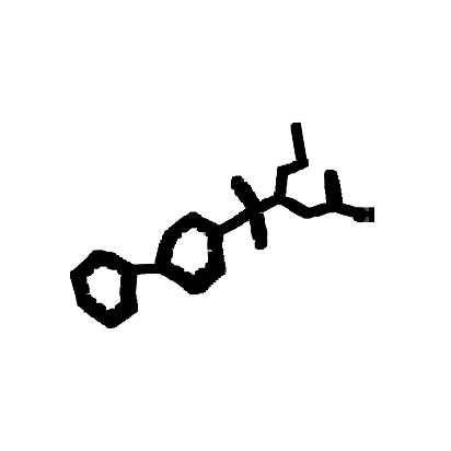 CCCN(CC(=O)O)S(=O)(=O)c1ccc(-c2ccccc2)cc1